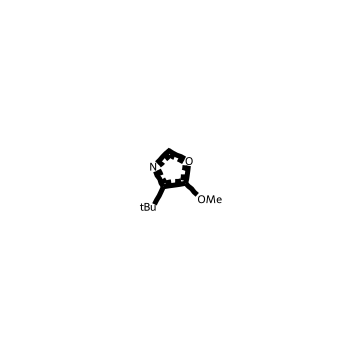 COc1ocnc1C(C)(C)C